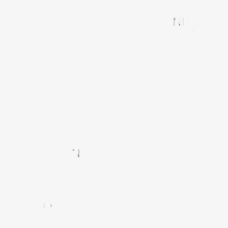 Nc1ccc(CCN2CCOCC2)cc1